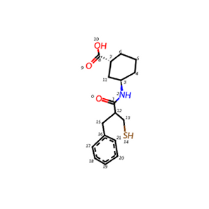 O=C(N[C@@H]1CCC[C@@H](C(=O)O)C1)C(CS)Cc1ccccc1